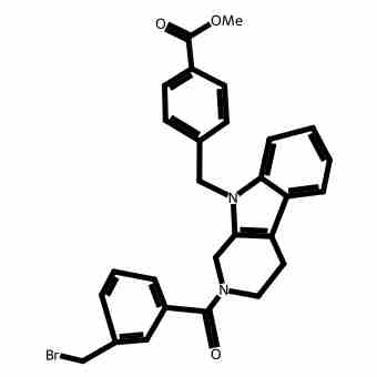 COC(=O)c1ccc(Cn2c3c(c4ccccc42)CCN(C(=O)c2cccc(CBr)c2)C3)cc1